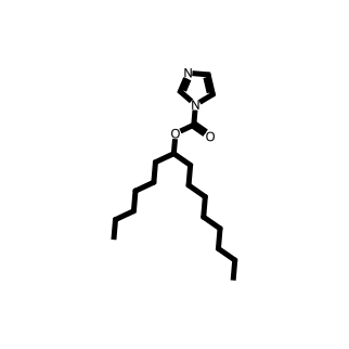 CCCCCCCCC(CCCCCC)OC(=O)n1ccnc1